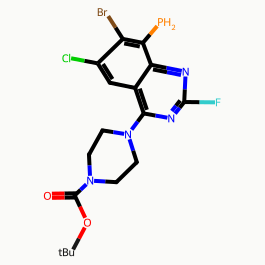 CC(C)(C)OC(=O)N1CCN(c2nc(F)nc3c(P)c(Br)c(Cl)cc23)CC1